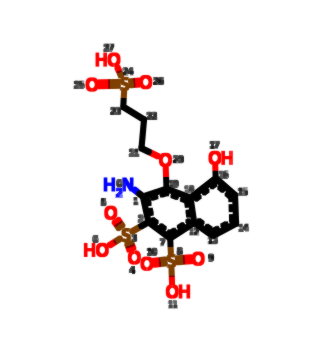 Nc1c(S(=O)(=O)O)c(S(=O)(=O)O)c2cccc(O)c2c1OCCCS(=O)(=O)O